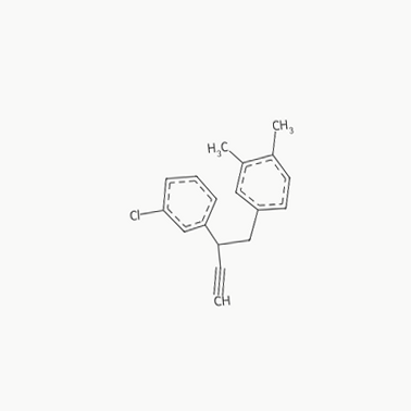 C#CC(Cc1ccc(C)c(C)c1)c1cccc(Cl)c1